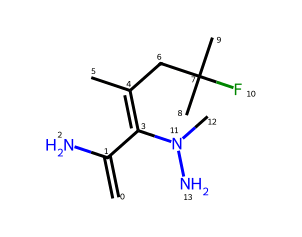 C=C(N)/C(=C(\C)CC(C)(C)F)N(C)N